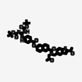 CC(=O)CN(Cc1ccc2sc(C(C)=O)cc2c1)C(=O)c1ccc2cc(OC(=O)c3ccc(N/C(=N\C(=O)OC(C)(C)C)NC(=O)OC(C)(C)C)cc3)ccc2c1